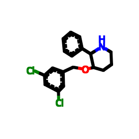 Clc1cc(Cl)cc(COC2CCCNC2c2ccccc2)c1